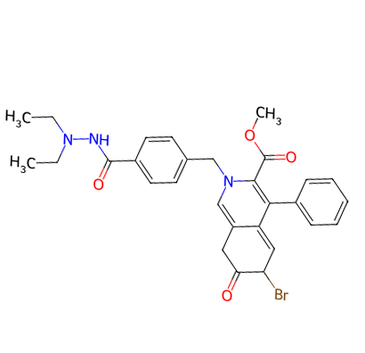 CCN(CC)NC(=O)c1ccc(CN2C=C3CC(=O)C(Br)C=C3C(c3ccccc3)=C2C(=O)OC)cc1